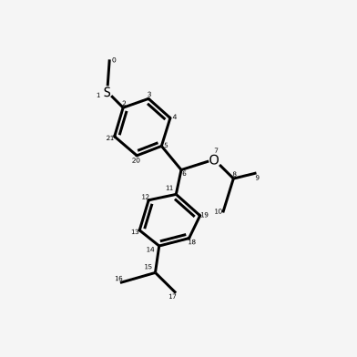 CSc1ccc(C(OC(C)C)c2ccc(C(C)C)cc2)cc1